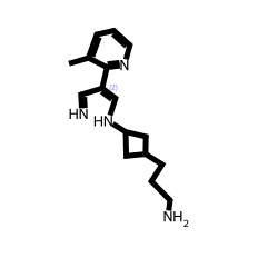 Cc1cccnc1/C(C=N)=C/NC1CC(CCCN)C1